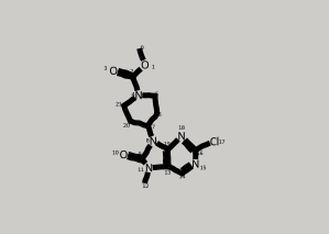 COC(=O)N1CCC(n2c(=O)n(C)c3cnc(Cl)nc32)CC1